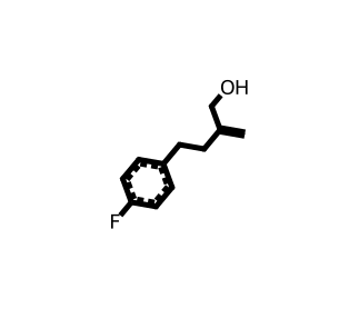 C=C(CO)CCc1ccc(F)cc1